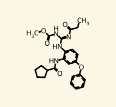 CCC(=O)N=C(NC(=O)OC)Nc1ccc(Oc2ccccc2)cc1NC(=O)C1CCCC1